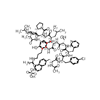 CC(=O)N[C@H](Cc1ccc2ccccc2c1)C(=O)N[C@H](Cc1ccc(Cl)cc1)C(=O)N[C@H](Cc1cccnc1)C(=O)N[C@@H](CO)C(=O)N[C@@H](Cc1ccc(O)cc1)C(=O)N[C@H](CCCCNC(N)=O)C(=O)N[C@H](CC(C)C)C(=O)N[C@@H](CCCCNC(C)C)C(=O)N1CCC[C@H]1C(=O)N[C@H](C)C(N)=O.O=S(=O)(O)O